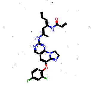 C=C/C=C(\C=C(/C)Nc1ncc2c(n1)N1CCN=C1C(Oc1ccc(F)cc1F)=C2)NC(=O)C=C